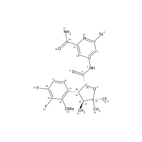 [2H]c1cc(NC(=O)[C@@H]2O[C@](C)(C(F)(F)F)[C@@H](C)[C@@H]2c2ccc(F)c(F)c2OC)cc(C(N)=O)n1